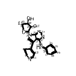 C[C@H]1O[C@@H](n2cc(-c3ccncc3)c3c(Nc4ccccc4)ncnc32)[C@H](O)[C@@H]1O